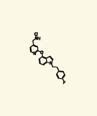 Fc1ccc(CCn2ccc3c(Oc4cc(CNCl)ccn4)cccc32)cc1